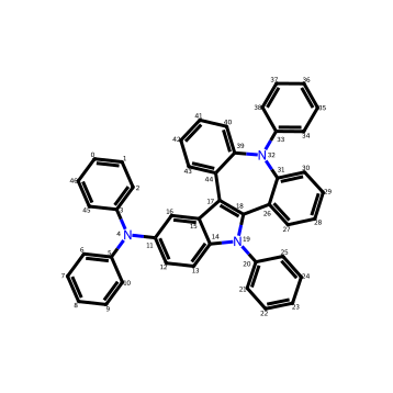 c1ccc(N(c2ccccc2)c2ccc3c(c2)c2c(n3-c3ccccc3)-c3ccccc3N(c3ccccc3)c3ccccc3-2)cc1